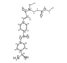 CCOC(=O)CCN(CC)C(=O)/C(C)=C/c1ccc(C(=O)Oc2ccc(C(=N)N)cc2)cc1